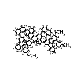 C=CC1=CC=C(C2(c3ccc(C)cc3)c3ccccc3-c3ccc(N(c4cccc5ccccc45)c4ccc(-c5ccc(N(c6ccc7c(c6)C(c6ccc(C)cc6)(c6ccc(C=C)cc6)c6ccccc6-7)c6cccc7ccccc67)c6ccccc56)c5ccccc45)cc32)CC1